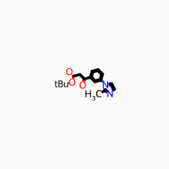 Cc1nccn1-c1cccc(C(=O)CC(=O)OC(C)(C)C)c1